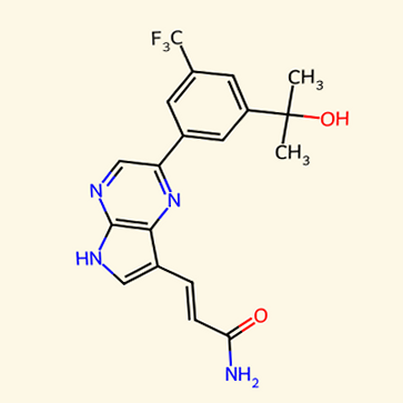 CC(C)(O)c1cc(-c2cnc3[nH]cc(/C=C/C(N)=O)c3n2)cc(C(F)(F)F)c1